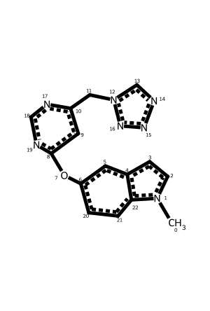 Cn1ccc2cc(Oc3cc(Cn4cnnn4)ncn3)ccc21